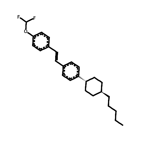 CCCCC[C@H]1CC[C@H](c2ccc(C=Cc3ccc(OC(F)F)cc3)cc2)CC1